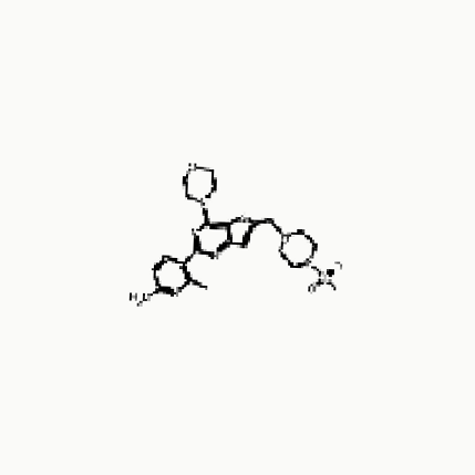 Cc1nc(N)ccc1-c1nc(N2CCOCC2)c2sc(CN3CCN(S(C)(=O)=O)CC3)cc2n1